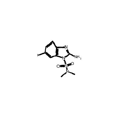 CN(C)S(=O)(=O)n1c(N)nc2ccc(I)cc21